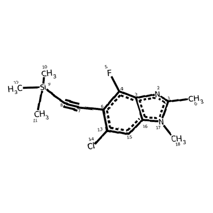 Cc1nc2c(F)c(C#C[Si](C)(C)C)c(Cl)cc2n1C